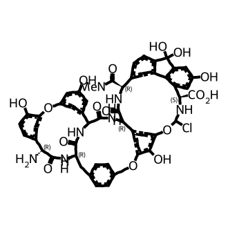 CNC(=O)[C@@H]1NC(=O)[C@@H]2NC(=O)C3NC(=O)[C@@H](Cc4ccc(cc4)Oc4cc2cc(c4O)OC(Cl)N[C@H](C(=O)O)c2cc(O)cc4c2-c2cc1ccc2C4(O)O)NC(=O)[C@H](N)c1ccc(O)c(c1)Oc1cc(O)cc3c1